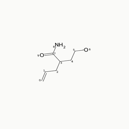 C=CCC(CC[O])C(N)=O